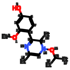 CCOc1cc(O)ccc1C1=NC(CC)=CN(OC(CC)CC)C1CC